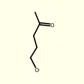 CC(=O)CCC[O]